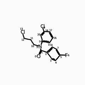 O=C(c1ccc(F)cc1)N(CCCCl)c1cccc(Cl)c1